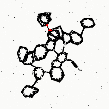 N#Cc1cc(-n2c3ccc(-c4ccccc4)cc3c3cc(-c4ccccc4)ccc32)c(-n2c3ccc(-c4ccccc4)cc3c3cc(-c4ccccc4)ccc32)c2oc3c(-c4nc(-c5ccccc5)nc(-c5ccccc5)n4)cccc3c12